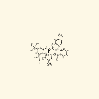 Cc1ccc(-c2c(C(=O)NCc3cc(C(F)(F)F)cc(C(F)(F)F)c3)n(CC[C@@H](C)CO)c(=O)c3ncccc23)cc1